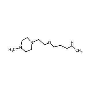 CNCCCOCCN1CCN(C)CC1